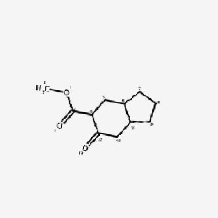 COC(=O)C1CC2CCCC2CC1=O